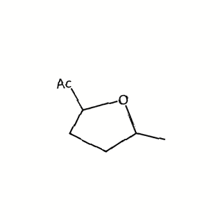 CC(=O)C1CCC(C)O1